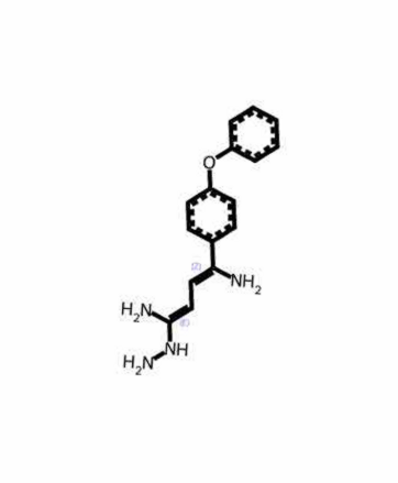 NN/C(N)=C/C=C(\N)c1ccc(Oc2ccccc2)cc1